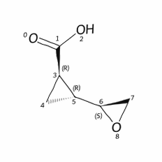 O=C(O)[C@@H]1C[C@H]1[C@H]1CO1